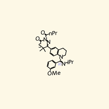 CCCC(=O)N1N=C(c2ccc3c(c2)CCCN3/C(=N\C(C)C)c2cccc(OC)c2)C(C)(C)SC1=O